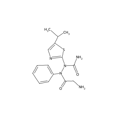 CC(C)c1cnc(N(C(N)=O)N(C(=O)CN)c2ccccc2)s1